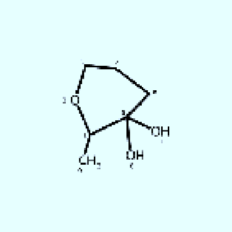 CC1OCCCC1(O)O